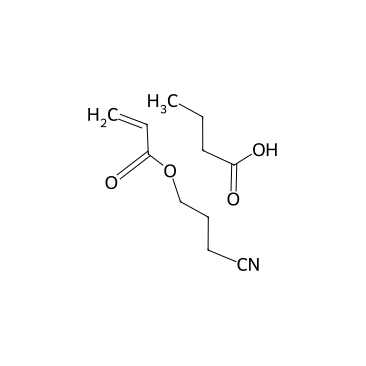 C=CC(=O)OCCCC#N.CCCC(=O)O